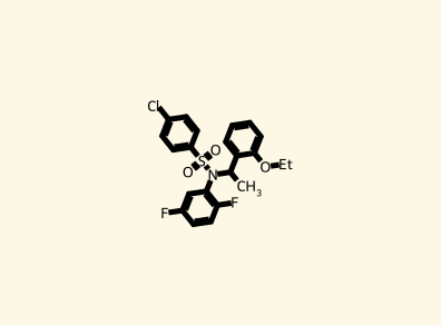 [CH2]COc1ccccc1C(C)N(c1cc(F)ccc1F)S(=O)(=O)c1ccc(Cl)cc1